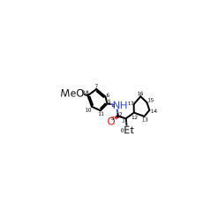 CCC(C(=O)Nc1ccc(OC)cc1)C1CCCCC1